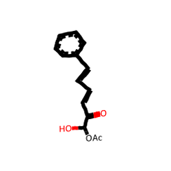 CC(=O)OC(O)C(=O)C=CC=Cc1ccccc1